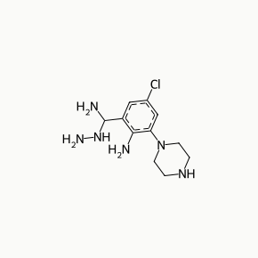 NNC(N)c1cc(Cl)cc(N2CCNCC2)c1N